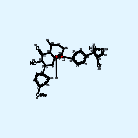 COc1ccc([C@@H]2CC34NC(C)=NC(c5ccc(-c6[nH]ncc6Br)cc5)=C3CCC(C)C4C(=O)C2C#N)cc1